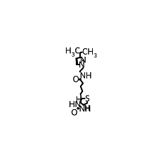 CC(C)c1ccn(CCNC(=O)CCCC[C@H]2SC[C@H]3NC(=O)N[C@H]32)n1